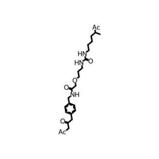 CC(=O)CC(=O)Cc1ccc(CNC(=O)COCCCNC(=O)NCCCCC(C)C(C)=O)cc1